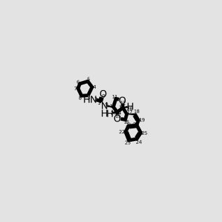 O=C(NC1CCCCC1)N[C@H]1CO[C@H]2[C@@H]1OC[C@@H]2/C=C\c1ccccc1